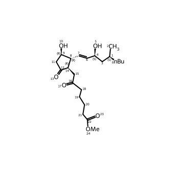 CCCC[C@H](C)C[C@H](O)C=C[C@H]1[C@H](O)CC(=O)[C@@H]1CC(=O)CCCCC(=O)OC